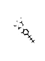 CCNC(=O)N(CC(OC)OC)c1ccc(C(F)(F)C(O)(F)C(F)(F)F)cc1C